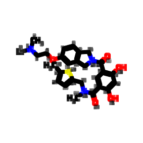 CCN(C)CCOc1ccc2c(c1)CN(C(=O)c1cc(C(=O)N(C)Cc3ccc(C)s3)c(O)cc1O)C2